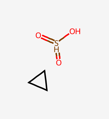 C1CC1.O=[SH](=O)O